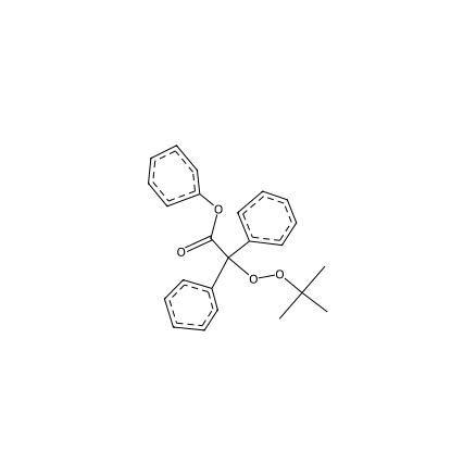 CC(C)(C)OOC(C(=O)Oc1ccccc1)(c1ccccc1)c1ccccc1